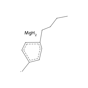 [CH2]c1ccc(CCCC)cc1.[MgH2]